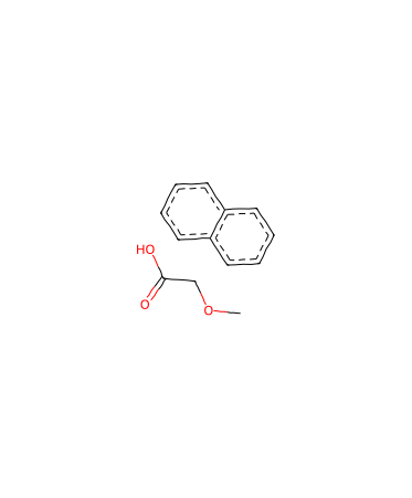 COCC(=O)O.c1ccc2ccccc2c1